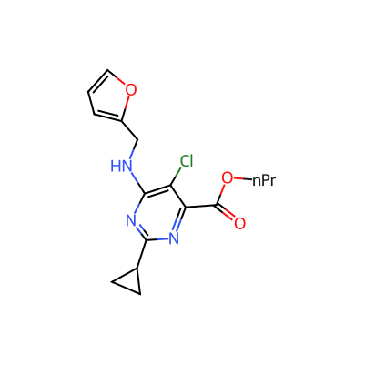 CCCOC(=O)c1nc(C2CC2)nc(NCc2ccco2)c1Cl